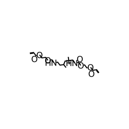 C=CC(=O)OCCOCNCCC(C)CC(C)(C)CNC(=O)OCCOC(=O)C=C